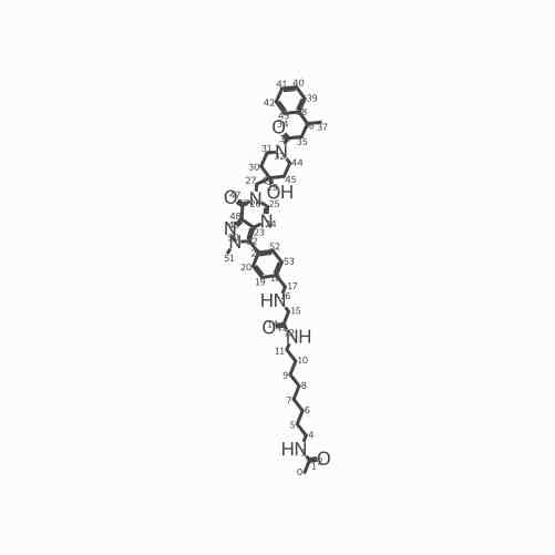 CC(=O)NCCCCCCCCNC(=O)CNCc1ccc(-c2c3ncn(CC4(O)CCN(C(=O)CC(C)c5ccccc5)CC4)c(=O)c3nn2C)cc1